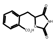 O=C1NC(=O)C(Cc2ccccc2C(=O)O)O1